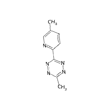 Cc1ccc(-c2nnc(C)nn2)nc1